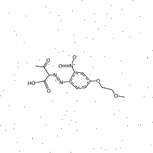 COCCOc1ccc(/N=N/C(C(C)=O)C(=O)O)c([N+](=O)[O-])c1